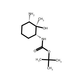 CC(C)(C)OC(=O)N[C@@H]1CCC[C@H](N)[C@@]1(C)O